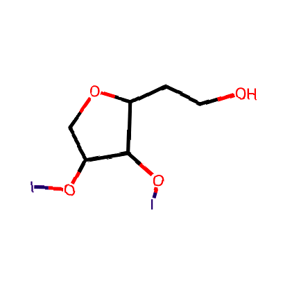 OCCC1OCC(OI)C1OI